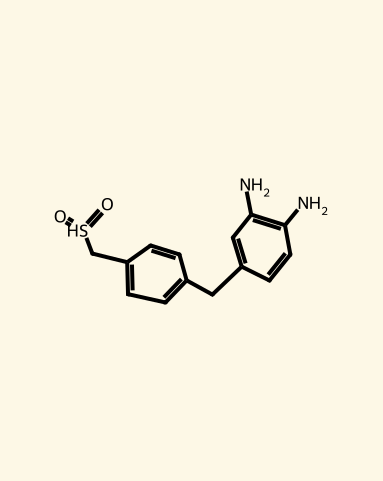 Nc1ccc(Cc2ccc(C[SH](=O)=O)cc2)cc1N